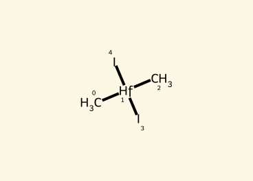 [CH3][Hf]([CH3])([I])[I]